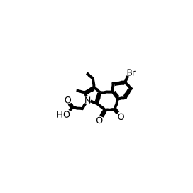 CCc1c2c(n(CC(=O)O)c1C)C(=O)C(=O)c1ccc(Br)cc1-2